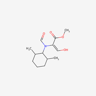 COC(=O)/C(=C\O)N(C=O)C1C(C)CCCC1C